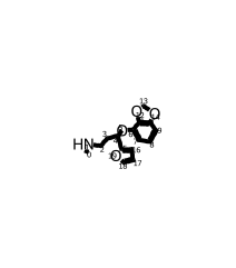 CNCCC(Oc1cccc2c1OCO2)c1ccco1